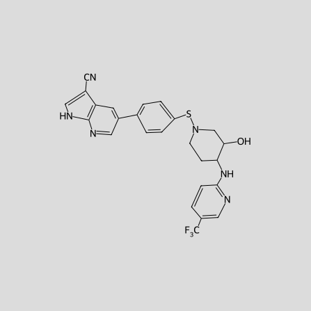 N#Cc1c[nH]c2ncc(-c3ccc(SN4CCC(Nc5ccc(C(F)(F)F)cn5)C(O)C4)cc3)cc12